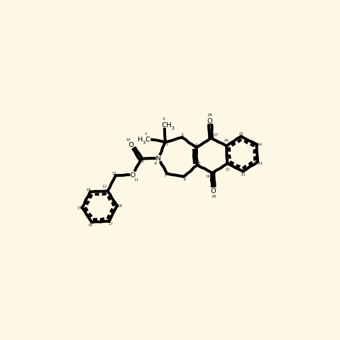 CC1(C)CC2=C(CCN1C(=O)OCc1ccccc1)C(=O)c1ccccc1C2=O